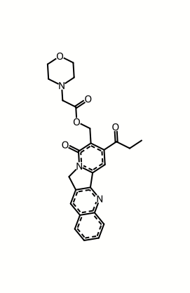 CCC(=O)c1cc2n(c(=O)c1COC(=O)CN1CCOCC1)Cc1cc3ccccc3nc1-2